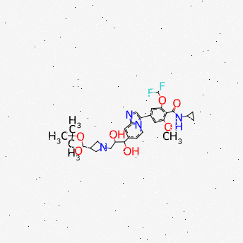 COc1cc(-c2cnc3cc(C(O)C(O)CN4CC(C(=O)OC(C)(C)C)C4)ccn23)cc(OC(F)F)c1C(=O)NC1CC1